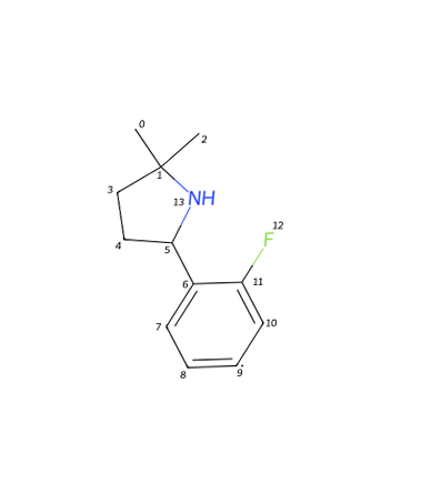 CC1(C)CCC(c2cc[c]cc2F)N1